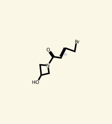 O=C(/C=C/CBr)N1CC(O)C1